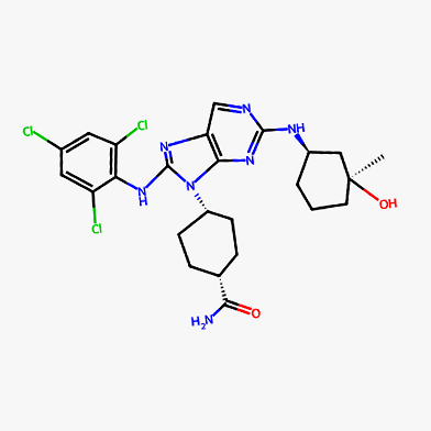 C[C@]1(O)CCC[C@@H](Nc2ncc3nc(Nc4c(Cl)cc(Cl)cc4Cl)n([C@H]4CC[C@@H](C(N)=O)CC4)c3n2)C1